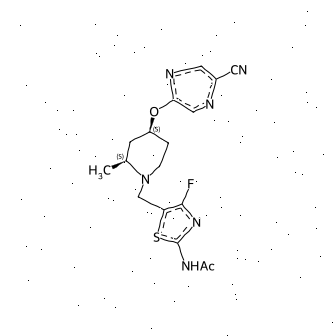 CC(=O)Nc1nc(F)c(CN2CC[C@H](Oc3cnc(C#N)cn3)C[C@@H]2C)s1